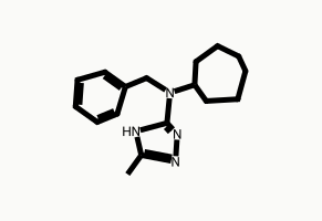 Cc1nnc(N(Cc2ccccc2)C2CCCCCC2)[nH]1